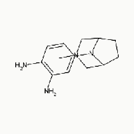 CN1CC2CCC(C1)N2c1ccc(N)c(N)c1